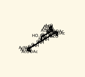 CC(=O)NC1C(C(=O)CCCC(=O)NCCCCC(=O)NCCN(CCNC(=O)CCCCNC(=O)CCCC(=O)C2OC(COC(C)=O)C(OC(C)=O)C(OC(C)=O)C2NC(C)=O)C(=O)CC[C@H](NC(=O)CCCCNC(=O)CCCC(=O)C2OC(COC(C)=O)C(OC(C)=O)C(OC(C)=O)C2NC(C)=O)C(=O)O)OC(COC(C)=O)C(OC(C)=O)C1OC(C)=O